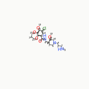 CNCCCN1CC[C@@H](CNC(=O)c2cc(Cl)c(OC)c3c2OCCCO3)[C@H](OC)C1